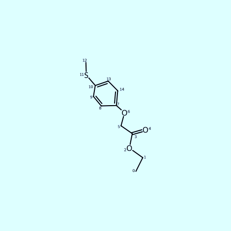 CCOC(=O)COc1ccc(SC)cc1